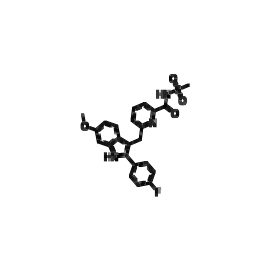 COc1ccc2c(Cc3cccc(C(=O)NS(C)(=O)=O)n3)c(-c3ccc(F)cc3)[nH]c2c1